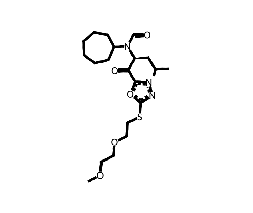 COCCOCCSc1nnc(C(=O)[C@H](CC(C)C)N(C=O)C2CCCCCC2)o1